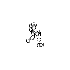 CC(C)(C)OC(=O)ON1Cc2cc(Cl)ccc2-n2c(nnc2[C@H]2CC[C@H](c3ncco3)CC2)C1